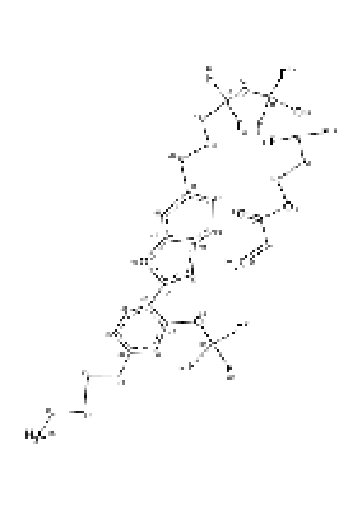 C=CC(=O)OCCC(F)(F)OC(F)(F)OC(F)(F)CCSc1ccc2cc(-c3ccc(CCCCC)cc3OC(F)(F)F)oc2c1